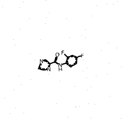 O=C(Nc1ccc(F)cc1F)c1cnccn1